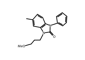 COCCCn1c(=O)n(-c2ccccc2)c2ccc(C)cc21